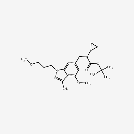 COCCCn1nc(C)c2c(OC)cc(CN(C(=O)OC(C)(C)C)C3CC3)cc21